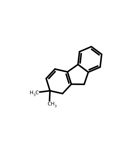 CC1(C)C=CC2=C(Cc3ccccc32)C1